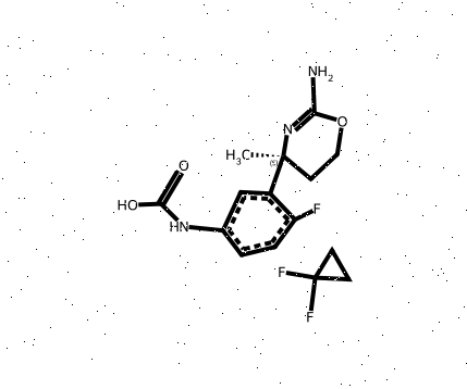 C[C@@]1(c2cc(NC(=O)O)ccc2F)CCOC(N)=N1.FC1(F)CC1